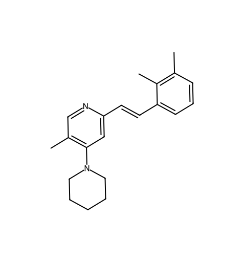 Cc1cnc(C=Cc2cccc(C)c2C)cc1N1CCCCC1